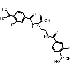 O=C(NCC[C@H](NC(=O)c1ccc(B(O)O)c(F)c1)C(=O)O)c1ccc(B(O)O)c(F)c1